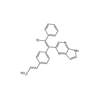 CCC(=C(c1ccc(C=CC(=O)O)cc1)c1cnc2[nH]ccc2n1)c1ccccc1